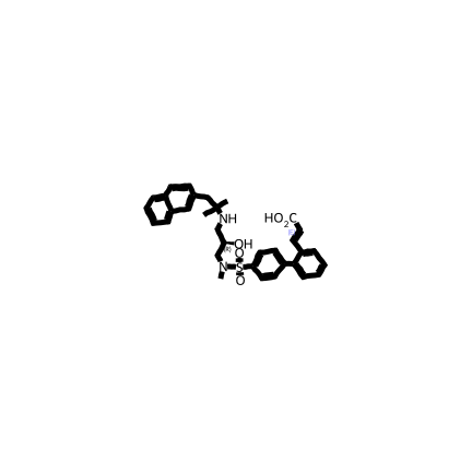 CN(C[C@H](O)CNC(C)(C)Cc1ccc2ccccc2c1)S(=O)(=O)c1ccc(-c2ccccc2/C=C/C(=O)O)cc1